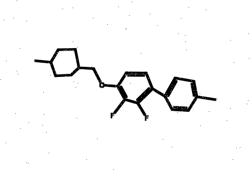 Cc1ccc(-c2ccc(OCC3CCC(C)CC3)c(F)c2F)cc1